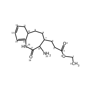 CCOC(=O)CCC1CCC2CC=CC=C2NC(=O)C1N